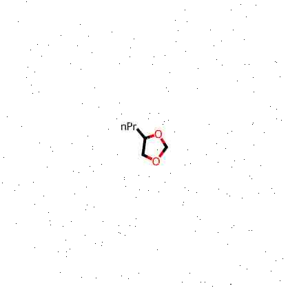 [CH2]CCC1COCO1